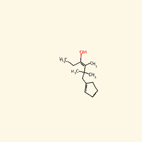 CC/C(O)=C(/C)C(C)(C)CC1=CCCC1